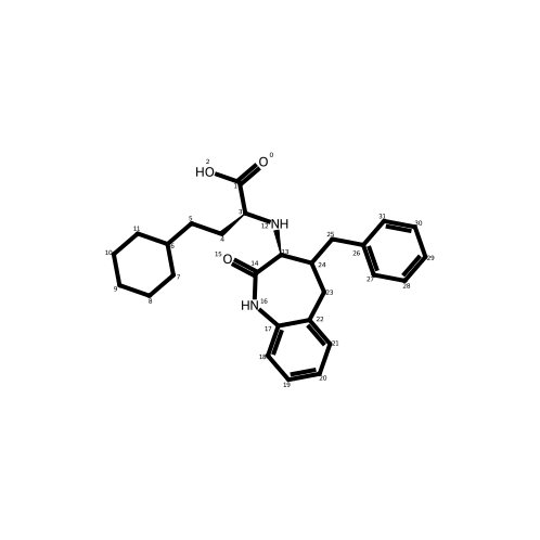 O=C(O)[C@H](CCC1CCCCC1)N[C@@H]1C(=O)Nc2ccccc2CC1Cc1ccccc1